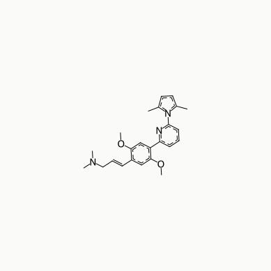 COc1cc(-c2cccc(-n3c(C)ccc3C)n2)c(OC)cc1/C=C/CN(C)C